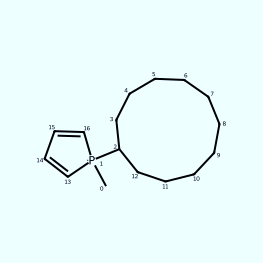 C[P]1(C2CCCCCCCCCC2)C=CC=C1